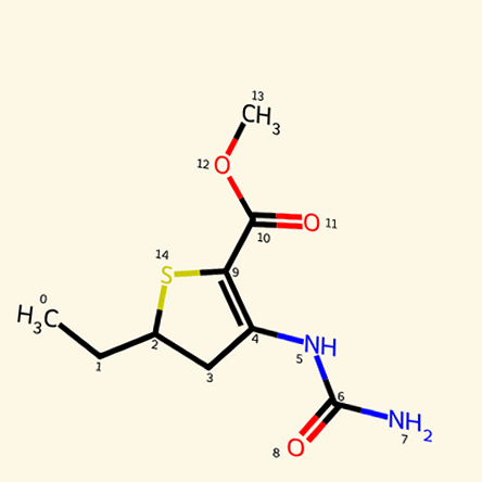 CCC1CC(NC(N)=O)=C(C(=O)OC)S1